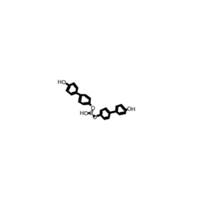 OB(Oc1ccc(-c2ccc(O)cc2)cc1)Oc1ccc(-c2ccc(O)cc2)cc1